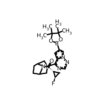 CC1(C)OB(c2cc3c(N4CC5CCC(C4)N5C(=O)[C@@H]4C[C@H]4F)ncnn3c2)OC1(C)C